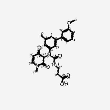 COc1cccc(-c2cc(C)cc(N(C(=O)NCCC(=O)O)C3C(=O)C=CN(C)C3=O)c2)c1